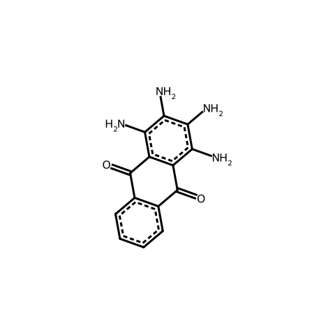 Nc1c(N)c(N)c2c(c1N)C(=O)c1ccccc1C2=O